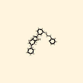 c1ccc(CCOc2cccc(-c3nc4ncc(-c5ccccc5)cc4[nH]3)c2)cc1